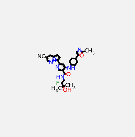 Cc1ncc(C2CCC(Nc3cc(-c4ccc5cc(C#N)cnn45)ncc3C(=O)NC[C@@H](F)C(C)(C)O)CC2)o1